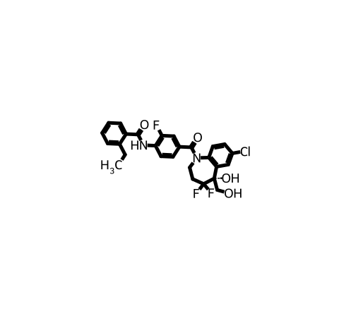 CCc1ccccc1C(=O)Nc1ccc(C(=O)N2CCC(F)(F)[C@](O)(CO)c3cc(Cl)ccc32)cc1F